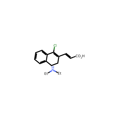 CCNCC.O=C(O)C=CC1=C(Cl)c2ccccc2CC1